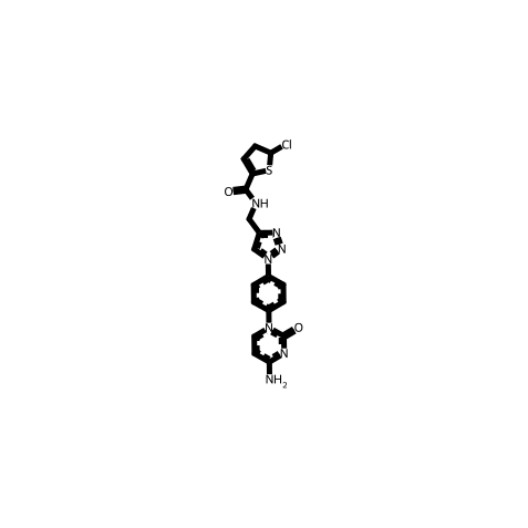 Nc1ccn(-c2ccc(-n3cc(CNC(=O)C4=CCC(Cl)S4)nn3)cc2)c(=O)n1